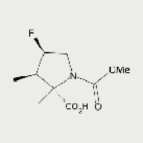 COC(=O)N1C[C@H](F)[C@H](C)[C@@]1(C)C(=O)O